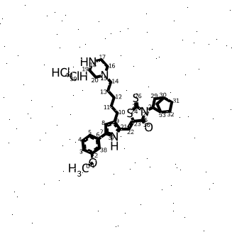 COc1cccc(-c2cc(CCCCCN3CCNCC3)c(C=C3SC(=S)N(C4CC5CCC4C5)C3=O)[nH]2)c1.Cl.Cl